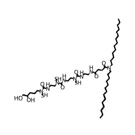 CCCCCCCCCCCCCCN(CCCCCCCCCCCCCC)C(=O)CCC(=O)NCCNC(=O)N(S)CCNC(=O)N(S)CCNC(=O)N(S)CCCC(O)CO